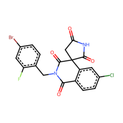 O=C1CC2(C(=O)N1)C(=O)N(Cc1ccc(Br)cc1F)C(=O)c1ccc(Cl)cc12